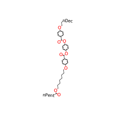 CCCCCCCCCCCCOc1ccc(C(=O)Oc2ccc(OC(=O)c3ccc(OCCCCCCCCOC(=O)CCCCC)cc3)cc2)cc1